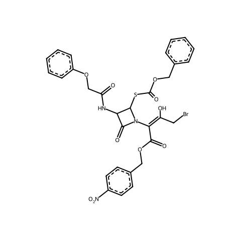 O=C(COc1ccccc1)NC1C(=O)N(C(C(=O)OCc2ccc([N+](=O)[O-])cc2)=C(O)CBr)C1SC(=O)OCc1ccccc1